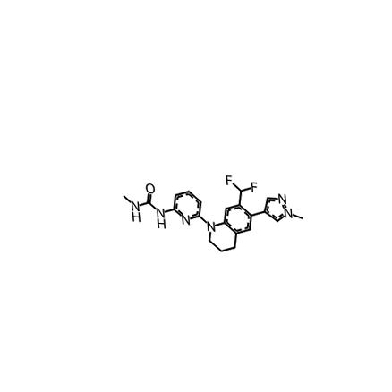 CNC(=O)Nc1cccc(N2CCCc3cc(-c4cnn(C)c4)c(C(F)F)cc32)n1